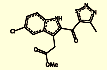 COC(=O)Cc1c(C(=O)c2snnc2C)[nH]c2ccc(Cl)cc12